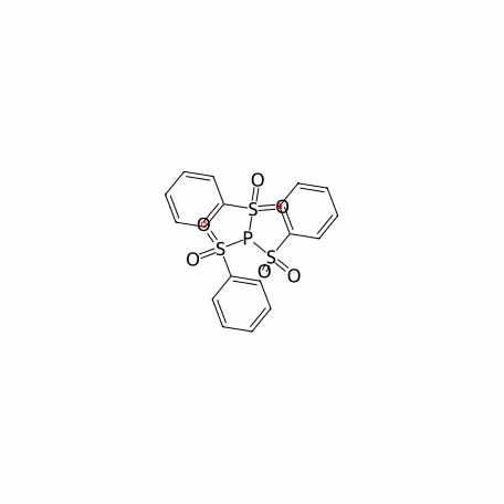 O=S(=O)(c1ccccc1)P(S(=O)(=O)c1ccccc1)S(=O)(=O)c1ccccc1